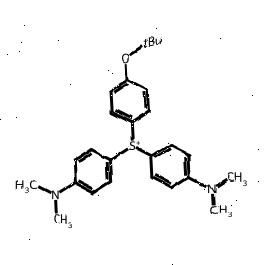 CN(C)c1ccc([S+](c2ccc(OC(C)(C)C)cc2)c2ccc(N(C)C)cc2)cc1